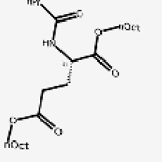 CCCCCCCCOC(=O)CC[C@H](NC(=O)CCC)C(=O)OCCCCCCCC